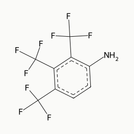 Nc1ccc(C(F)(F)F)c(C(F)(F)F)c1C(F)(F)F